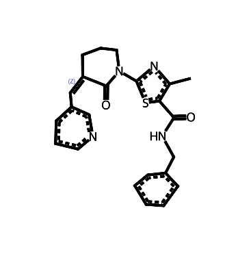 Cc1nc(N2CCC/C(=C/c3cccnc3)C2=O)sc1C(=O)NCc1ccccc1